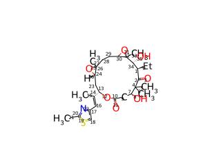 CC[C@H]1C(=O)C(C)(C)[C@@H](O)CC(=O)O[C@H](C(C)=Cc2csc(C)n2)C[C@@H]2O[C@]2(C)CCC2OC2(C)[C@@H]1O